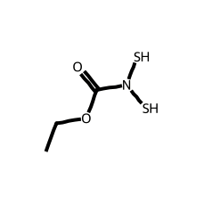 CCOC(=O)N(S)S